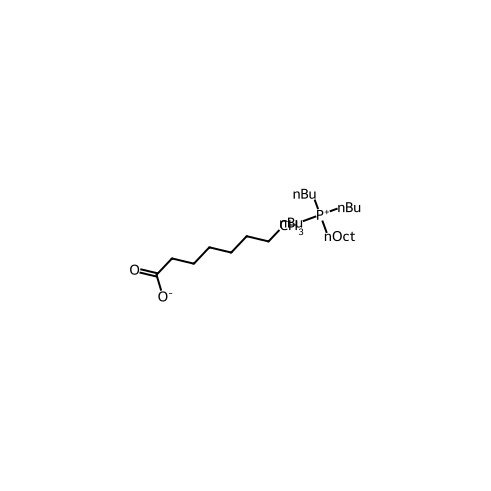 CCCCCCCC(=O)[O-].CCCCCCCC[P+](CCCC)(CCCC)CCCC